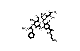 CCC1CC(C(=O)NCCN)C[C@@H](O[C@@H]2OC(CO)[C@H](O)C(OC(CC3CCCCC3)C(=O)O)C2NC(C)=O)C1O[C@@H](CO)OC(C)[C@@H](O)C(C)O